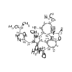 COc1cc(F)c(-c2c(-c3cc(OC(F)F)ccc3C(N)=O)c(=O)n(Cc3nnc(C(C)C)o3)n2C)c(F)c1